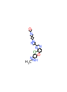 Cc1nc2ccc(Oc3ccc4ncc(-c5cnn(C6CC7(C6)CN(C6COC6)C7)c5)nc4c3Cl)cc2[nH]1